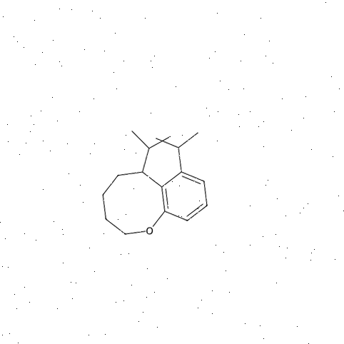 CC(C)c1cccc2c1C(C(C)C)CCCCO2